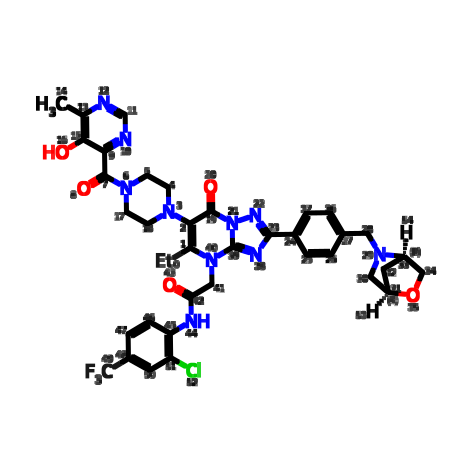 CCc1c(N2CCN(C(=O)c3ncnc(C)c3O)CC2)c(=O)n2nc(-c3ccc(CN4C[C@H]5C[C@@H]4CO5)cc3)nc2n1CC(=O)Nc1ccc(C(F)(F)F)cc1Cl